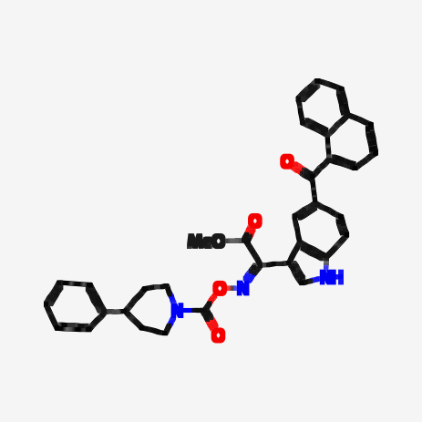 COC(=O)/C(=N\OC(=O)N1CCC(c2ccccc2)CC1)c1c[nH]c2ccc(C(=O)c3cccc4ccccc34)cc12